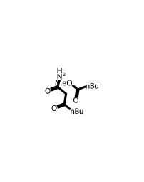 CCCCC(=O)CC(N)=O.CCCCC(=O)OC